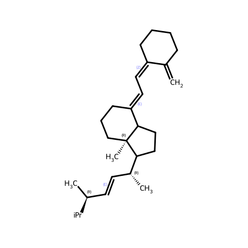 C=C1CCCC/C1=C/C=C1\CCC[C@@]2(C)C1CCC2[C@H](C)/C=C/[C@H](C)C(C)C